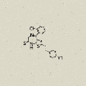 S=C1CN=C(c2ccccc2Cl)c2cc(CCc3ccc(Cl)cc3)sc2N1